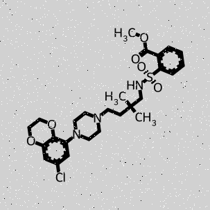 COC(=O)c1ccccc1S(=O)(=O)NCC(C)(C)CCN1CCN(c2cc(Cl)cc3c2OCCO3)CC1